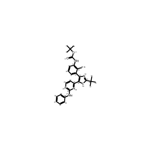 CC(C)(C)OC(=O)Nc1cccc(-c2nc(C(C)(C)C)sc2-c2ccnc(Nc3ccccc3)n2)c1F